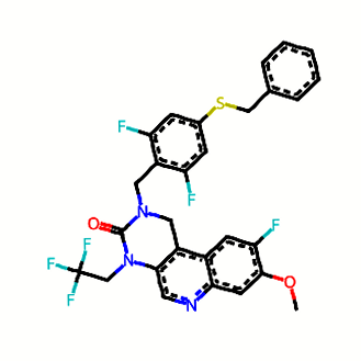 COc1cc2ncc3c(c2cc1F)CN(Cc1c(F)cc(SCc2ccccc2)cc1F)C(=O)N3CC(F)(F)F